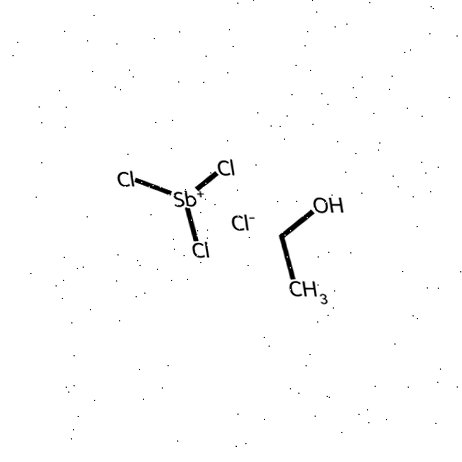 CCO.[Cl-].[Cl][Sb+]([Cl])[Cl]